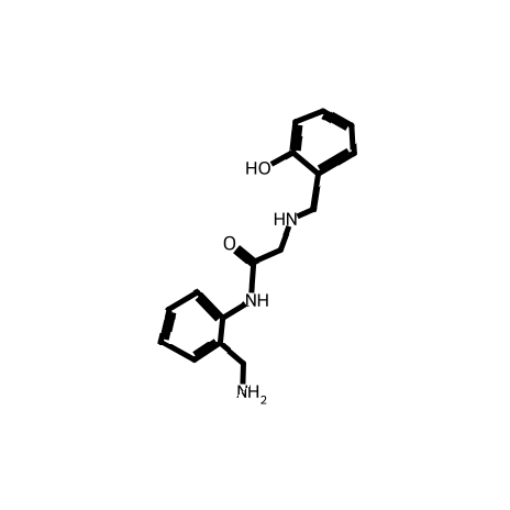 NCc1ccccc1NC(=O)CNCc1ccccc1O